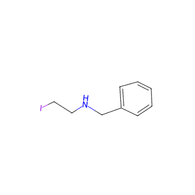 ICCNCc1ccccc1